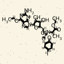 CCOC(=O)[C@H](C)NP(=O)(OC[C@H]1O[C@@H](n2cnc3c(OCC)nc(N)nc32)[C@@H](C)[C@@H]1O)Oc1ccc(I)cc1